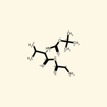 CC(C)[C@H](NC(=O)OC(C)(C)C)C(=O)OC(=O)CN